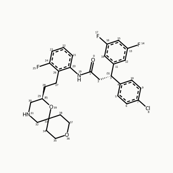 O=C([CH][C@@H](c1ccc(Cl)cc1)c1cc(F)cc(F)c1)Nc1cccc(F)c1CC[C@@H]1CNCC2(CCOCC2)O1